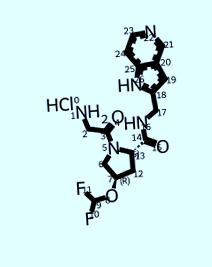 Cl.NCC(=O)N1C[C@H](OC(F)F)C[C@H]1C(=O)NCc1cc2cnccc2[nH]1